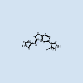 Cc1n[nH]cc1-c1ccc2c(c1)/C(=C/c1c[nH]cn1)CC2